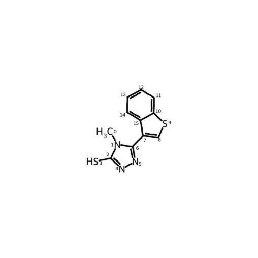 Cn1c(S)nnc1-c1csc2ccccc12